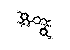 CC(CC1CCN(C(=O)c2ccc(Cl)cc2S(C)(=O)=O)CC1)S(=O)(=O)c1cccc(C(F)(F)F)c1